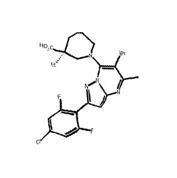 CC[C@]1(C(=O)O)CCCN(c2c(C(C)C)c(C)nc3cc(-c4c(F)cc(Cl)cc4F)nn23)C1